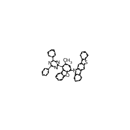 Cc1cc(-n2c3ccccc3c3cc4sc5ccccc5c4cc32)c2oc3ccccc3c2c1-c1nc(-c2ccccc2)nc(-c2ccccc2)n1